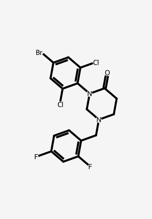 O=C1CCN(Cc2ccc(F)cc2F)CN1c1c(Cl)cc(Br)cc1Cl